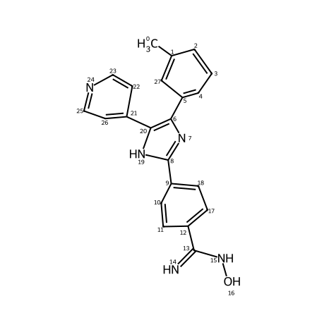 Cc1cccc(-c2nc(-c3ccc(C(=N)NO)cc3)[nH]c2-c2ccncc2)c1